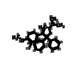 COc1ccc(C(=O)C(C[C@H](C)N(C)C)(c2ccccc2)c2ccccc2)cc1F